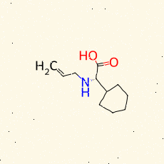 C=CCN[C@H](C(=O)O)C1CCCCC1